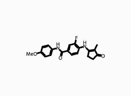 COc1ccc(NC(=O)c2ccc(NC3=C(C)C(=O)CC3)c(F)c2)cc1